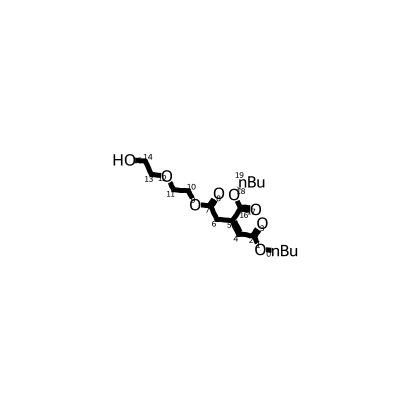 CCCCOC(=O)/C=C(/CC(=O)OCCOCCO)C(=O)OCCCC